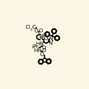 CC(C)[C@H](NC(=O)OCC1c2ccccc2-c2ccccc21)C(=O)NC(Cc1cn(C(c2ccccc2)(c2ccccc2)c2ccccc2)cn1)C(=O)N1CCC[C@@H](C(=O)OCC(Cl)(Cl)Cl)N1